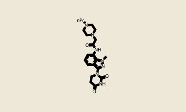 CCCN1CCN(CC(=O)Nc2cccc3c(N4CCC(=O)NC4=O)nn(C)c23)CC1